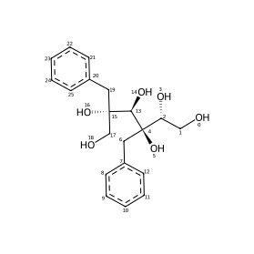 OC[C@@H](O)[C@](O)(Cc1ccccc1)[C@H](O)[C@@](O)(CO)Cc1ccccc1